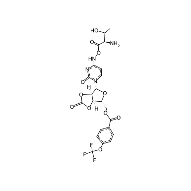 CC(O)[C@@H](N)C(=O)ONc1ccn([C@@H]2O[C@H](COC(=O)c3ccc(OC(F)(F)F)cc3)[C@H]3OC(=O)O[C@H]32)c(=O)n1